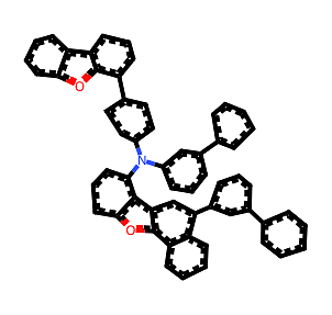 c1ccc(-c2cccc(-c3cc4c(oc5cccc(N(c6ccc(-c7cccc8c7oc7ccccc78)cc6)c6cccc(-c7ccccc7)c6)c54)c4ccccc34)c2)cc1